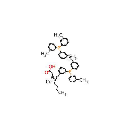 CCCCCCCC(=O)O.Cc1cccc(P(c2cccc(C)c2)c2cccc(C)c2)c1.Cc1cccc(P(c2cccc(C)c2)c2cccc(C)c2)c1.[Co]